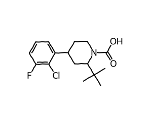 CC(C)(C)C1CC(c2cccc(F)c2Cl)CCN1C(=O)O